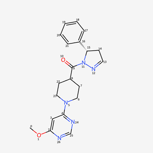 COc1cc(N2CCC(C(=O)N3N=CC[C@H]3c3ccccc3)CC2)ncn1